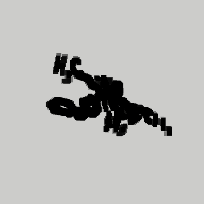 CCCCc1nnc(C(=O)NC[C@@H](O)CN(C)C)cc1-c1ccc(OC2CCCCC2)cc1